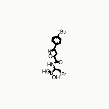 CC(C)CC(NC(=O)C1CC(c2ccc(C(C)(C)C)cc2)=NO1)B(O)O